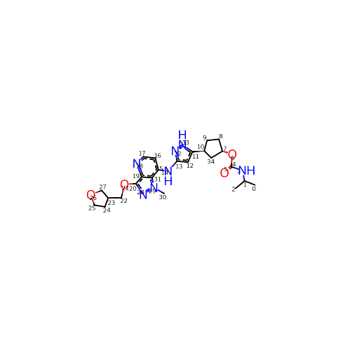 CC(C)NC(=O)O[C@@H]1CC[C@H](c2cc(Nc3ccnc4c(OCC5CCOC5)nn(C)c34)n[nH]2)C1